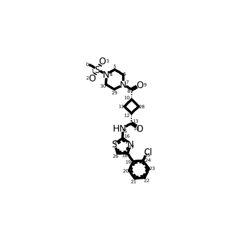 CS(=O)(=O)N1CCN(C(=O)[C@H]2C[C@@H](C(=O)Nc3nc(-c4ccccc4Cl)cs3)C2)CC1